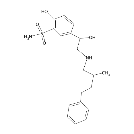 CC(CCc1ccccc1)CNCC(O)c1ccc(O)c(S(N)(=O)=O)c1